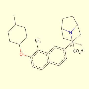 CC1CCC(Oc2ccc3ccc([C@@H](C)N4C5CCC4CC(C(=O)O)C5)cc3c2C(F)(F)F)CC1